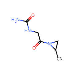 N#CC1CN1C(=O)CNC(N)=O